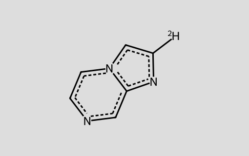 [2H]c1cn2ccncc2n1